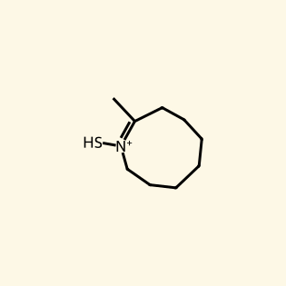 C/C1=[N+](\S)CCCCCCC1